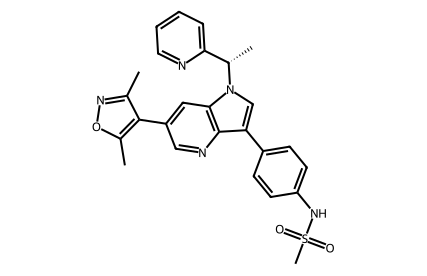 Cc1noc(C)c1-c1cnc2c(-c3ccc(NS(C)(=O)=O)cc3)cn([C@@H](C)c3ccccn3)c2c1